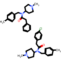 Cc1ccc(CN(C(=O)Cc2ccc(Cl)cc2)C2CCN(C)CC2)cc1.Cc1ccc(CN(C(=O)Cc2ccccc2)C2CCN(C)CC2)cc1